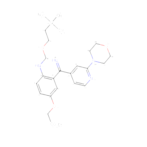 CCOC(=O)COc1ccc(NCOCC[Si](C)(C)C)c(C(=N)c2ccnc(N3CCOCC3)c2)c1